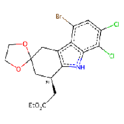 CCOC(=O)C[C@H]1CC2(Cc3c1[nH]c1c(Cl)c(Cl)cc(Br)c31)OCCO2